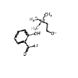 C[N+](C)(C)CCO.O=C(Cl)c1ccccc1O